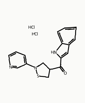 Cl.Cl.O=C(c1cc2ccccc2[nH]1)C1CSN(c2cccnc2)C1